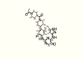 CC(=O)N1CCC(C(=O)N2CCC(c3cc(F)c(Nc4ncc(Cl)c(Nc5cc(C)[nH]n5)n4)cc3C)CC2)CC1